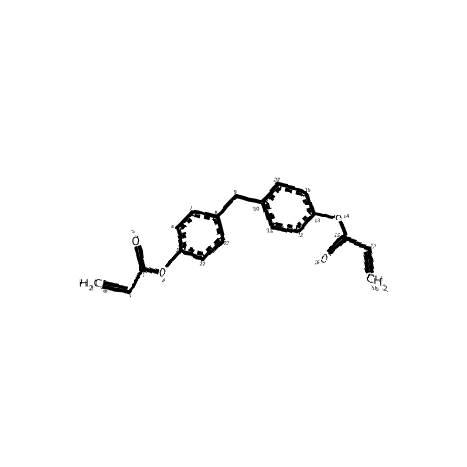 C=CC(=O)Oc1ccc(Cc2ccc(OC(=O)C=C)cc2)cc1